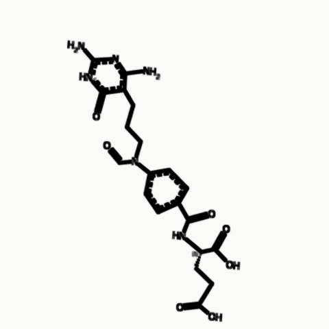 Nc1nc(N)c(CCCN(C=O)c2ccc(C(=O)N[C@@H](CCC(=O)O)C(=O)O)cc2)c(=O)[nH]1